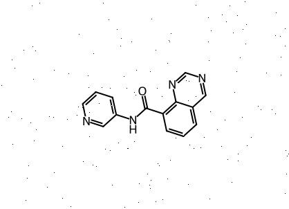 O=C(Nc1cccnc1)c1cccc2cncnc12